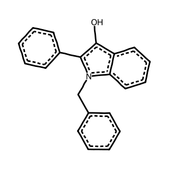 Oc1c(-c2ccccc2)n(Cc2ccccc2)c2ccccc12